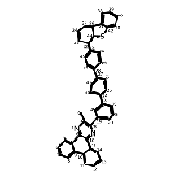 Cc1nc2c3ccccc3c3ccccc3c2nc1-c1cccc(-c2ccc(-c3ccc(C4C=CC=C5c6ccccc6SC54)cc3)cc2)c1